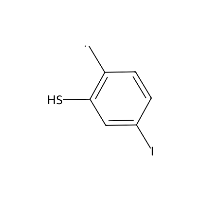 [CH2]c1ccc(I)cc1S